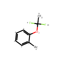 [CH2]C(=O)c1ccccc1OC(F)(F)C(F)(F)F